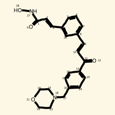 O=C(C=Cc1cccc(C=CC(=O)c2ccc(CN3CCOCC3)cc2)c1)NO